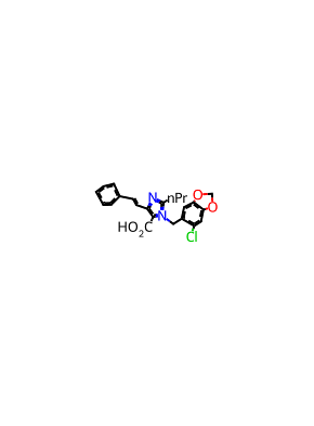 CCCc1nc(C=Cc2ccccc2)c(C(=O)O)n1Cc1cc2c(cc1Cl)OCO2